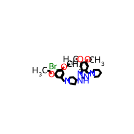 CCOc1cc(CN2CCC(Nc3nc(N4CCCCC4)c4cc(OC)c(OC)cc4n3)CC2)cc(OCC)c1Br